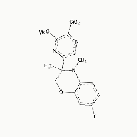 COc1ncc(C2(C)COc3cc(F)ccc3N2C)nc1OC